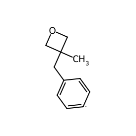 CC1(Cc2cc[c]cc2)COC1